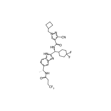 C[C@@H](NC(=O)CCC(F)(F)F)c1ccc2[nH]c([C@@H](NC(=O)c3cn(CC4CCC4)nc3C#N)C3CCC(F)(F)CC3)nc2c1